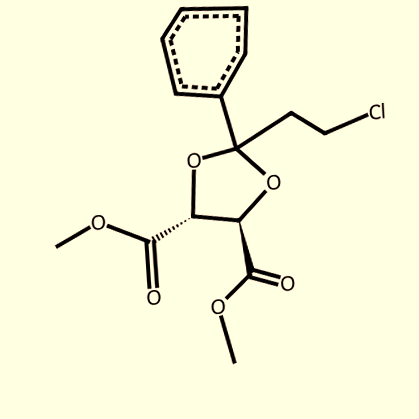 COC(=O)[C@@H]1OC(CCCl)(c2ccccc2)O[C@H]1C(=O)OC